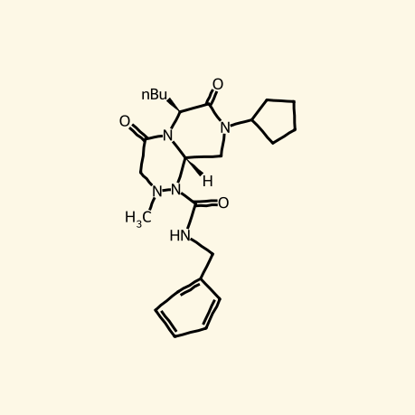 CCCC[C@H]1C(=O)N(C2CCCC2)C[C@H]2N1C(=O)CN(C)N2C(=O)NCc1ccccc1